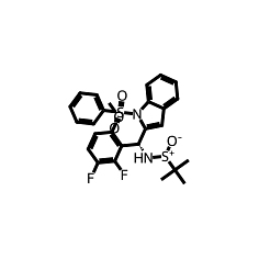 COc1ccc(F)c(F)c1[C@@H](N[S+]([O-])C(C)(C)C)c1cc2ccccc2n1S(=O)(=O)c1ccccc1